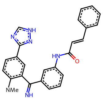 CNc1ccc(-c2nc[nH]n2)cc1C(=N)c1cccc(NC(=O)/C=C/c2ccccc2)c1